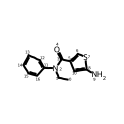 CCN(C(=O)c1csc(N)c1)c1ccccc1